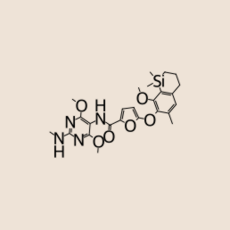 CNc1nc(OC)c(NC(=O)c2ccc(Oc3c(C)cc4c(c3OC)[Si](C)(C)CCC4)o2)c(OC)n1